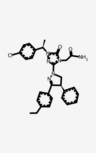 CCc1ccc(C2=NN(c3nn([C@H](C)c4ccc(Cl)cc4)c(=O)n3CC(N)=O)C[C@H]2c2ccccc2)cc1